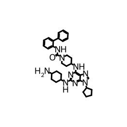 NC1CCC(Nc2nc(NC3CCN(C(=O)Nc4ccccc4-c4ccccc4)CC3)c3ncn(C4CCCC4)c3n2)CC1